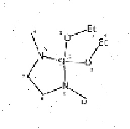 CCO[Si]1(OCC)N(C)CCN1C